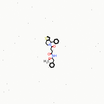 COC(Cc1ccccc1)NC(=O)CCC(=O)N1CCc2sccc2C1c1ccccc1